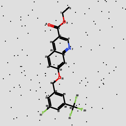 CCOC(=O)c1cnc2cc(OCc3cc(F)cc(C(F)(F)F)c3)ccc2c1